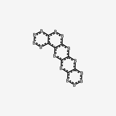 b1bbc2bc3bc4c(bbc5bbbbc54)bc3bc2b1